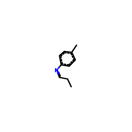 CC/C=N\c1ccc(C)cc1